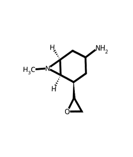 CN1[C@@H]2[C@H](C3CO3)CC(N)C[C@@H]21